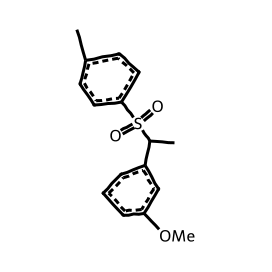 COc1cccc(C(C)S(=O)(=O)c2ccc(C)cc2)c1